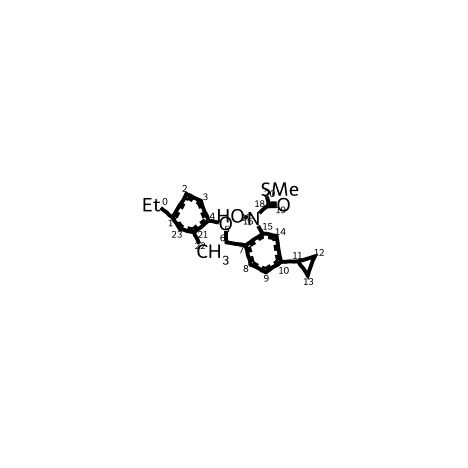 CCc1ccc(OCc2ccc(C3CC3)cc2N(O)C(=O)SC)c(C)c1